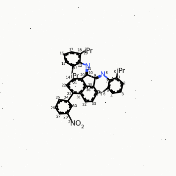 CC(C)c1cccc(C(C)C)c1N=C1C(=Nc2c(C(C)C)cccc2C(C)C)c2ccc(-c3cccc([N+](=O)[O-])c3)c3cccc1c23